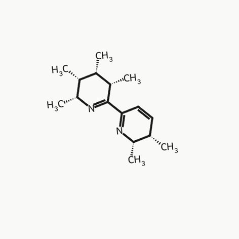 C[C@@H]1[C@H](C)[C@H](C)C(C2=N[C@@H](C)[C@@H](C)C=C2)=N[C@@H]1C